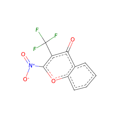 O=c1c(C(F)(F)F)c([N+](=O)[O-])oc2ccccc12